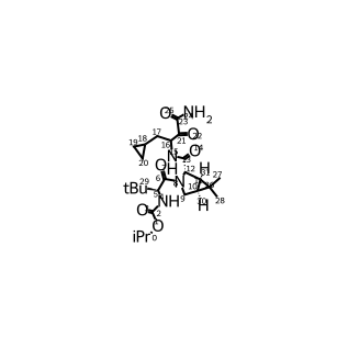 CC(C)OC(=O)N[C@H](C(=O)N1C[C@H]2[C@@H]([C@H]1C(=O)NC(CC1CC1)C(=O)C(N)=O)C2(C)C)C(C)(C)C